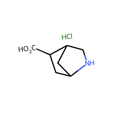 Cl.O=C(O)C1CC2CC1CN2